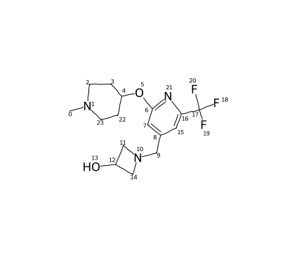 CN1CCC(Oc2cc(CN3CC(O)C3)cc(C(F)(F)F)n2)CC1